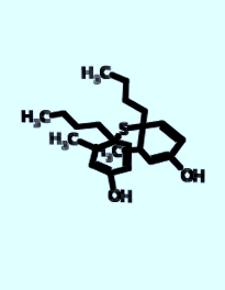 CCCCC1(SC2(CCCC)C=CC(O)=CC2C)C=CC(O)=CC1C